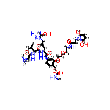 CNC(=O)OCc1ccc(NC(=O)[C@H](CCCNC(N)O)NC(=O)[C@@H](NC(=O)CN(C)C)C(C)C)cc1OCCOCCNC(=O)CCN1C(=O)C=CC1O